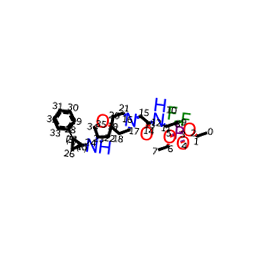 CCOP(=O)(OCC)C(F)(F)CNC(=O)CN1CCC2(CC1)CC(N[C@@H]1C[C@H]1c1ccccc1)CO2